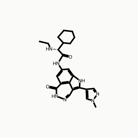 CCN[C@@H](C(=O)Nc1cc2c3c(c(-c4cnn(C)c4)[nH]c3c1)C=NNC2=O)C1CCCCC1